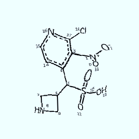 O=[N+]([O-])c1c(C(C2CNC2)S(=O)(=O)O)ccnc1Cl